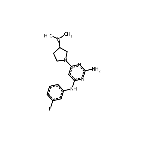 CN(C)[C@@H]1CCN(c2cc(Nc3cccc(F)c3)nc(N)n2)C1